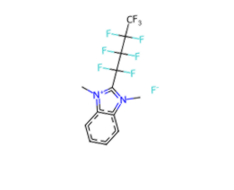 Cn1c(C(F)(F)C(F)(F)C(F)(F)C(F)(F)F)[n+](C)c2ccccc21.[F-]